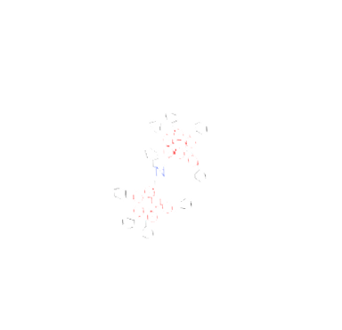 c1ccc(COC[C@H]2O[C@H](OCCCN(CCCO[C@H]3O[C@H](COCc4ccccc4)[C@@H](OCc4ccccc4)[C@H](OCc4ccccc4)[C@@H]3OCc3ccccc3)Cc3ccccc3)[C@@H](OCc3ccccc3)[C@@H](OCc3ccccc3)[C@@H]2OCc2ccccc2)cc1